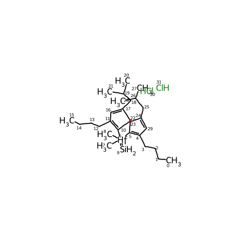 CCCCC1=[C]([Hf]([CH3])([CH3])(=[SiH2])[C]2=C(CCCC)C=C(CC(C)C)C2)CC(CC(C)C)=C1.Cl.Cl